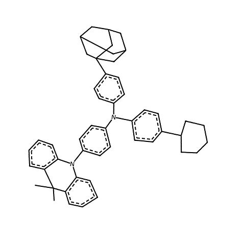 CC1(C)c2ccccc2N(c2ccc(N(c3ccc(C4CCCCC4)cc3)c3ccc(C45CC6CC(CC(C6)C4)C5)cc3)cc2)c2ccccc21